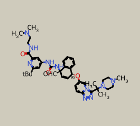 CN(C)CCNC(=O)c1cc(NC(=O)N[C@@]2(C=O)C=C[C@@H](Oc3ccc4nnc(C(C)(C)N5CCN(C)CC5)n4c3)c3ccccc32)cc(C(C)(C)C)n1